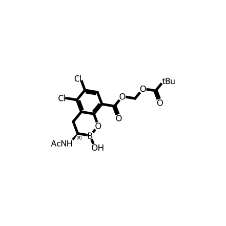 CC(=O)N[C@H]1Cc2c(Cl)c(Cl)cc(C(=O)OCOC(=O)C(C)(C)C)c2OB1O